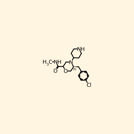 CNC(=O)C1CN(C2CCNCC2)[C@@H](Cc2ccc(Cl)cc2)CO1